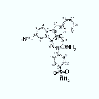 N#Cc1ccc2c(c1)/C(=N/N(C(N)=S)c1ccc(S(N)(=O)=O)cc1)C(=O)N2Cc1ccccc1